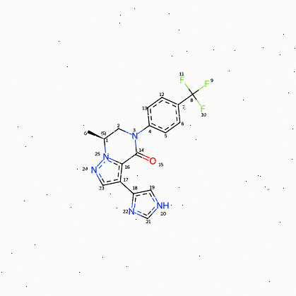 C[C@H]1CN(c2ccc(C(F)(F)F)cc2)C(=O)c2c(-c3c[nH]cn3)cnn21